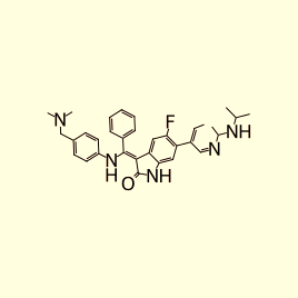 C/C=C(\C=N/C(C)NC(C)C)c1cc2c(cc1F)/C(=C(/Nc1ccc(CN(C)C)cc1)c1ccccc1)C(=O)N2